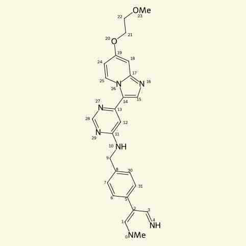 CN/C=C(\C=N)c1ccc(CNc2cc(-c3cnc4cc(OCCOC)ccn34)ncn2)cc1